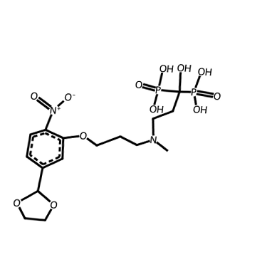 CN(CCCOc1cc(C2OCCO2)ccc1[N+](=O)[O-])CCC(O)(P(=O)(O)O)P(=O)(O)O